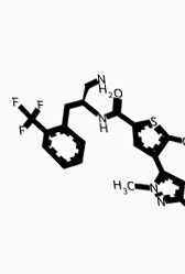 Cc1cc(-c2cc(C(=O)N[C@H](CN)Cc3ccccc3C(F)(F)F)sc2C)n(C)n1